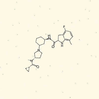 Cc1ccc(F)c2c1NC(C(=O)N[C@@H]1CCCC(N3CCC(N(C)C(=O)C4CC4)C3)C1)C2